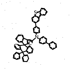 C1=CC(C2(c3ccccc3)c3ccccc3C3(c4ccccc4-c4cc(N(c5ccc(-c6ccccc6)cc5)c5ccc(-c6ccc7sc8ccccc8c7c6)cc5)ccc43)c3ccccc32)=CCC1